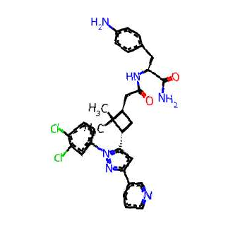 CC1(C)[C@@H](CC(=O)N[C@@H](Cc2ccc(N)cc2)C(N)=O)C[C@@H]1c1cc(-c2cccnc2)nn1-c1ccc(Cl)c(Cl)c1